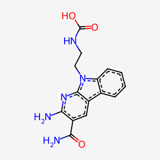 NC(=O)c1cc2c3ccccc3n(CCNC(=O)O)c2nc1N